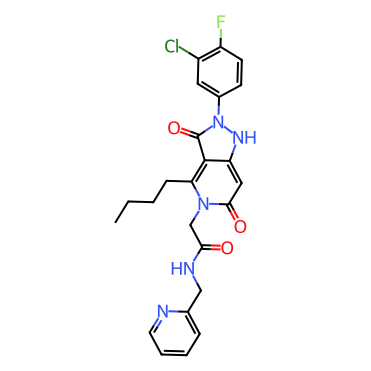 CCCCc1c2c(=O)n(-c3ccc(F)c(Cl)c3)[nH]c2cc(=O)n1CC(=O)NCc1ccccn1